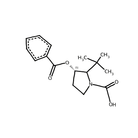 CC(C)(C)C1[C@@H](OC(=O)c2ccccc2)CCN1C(=O)O